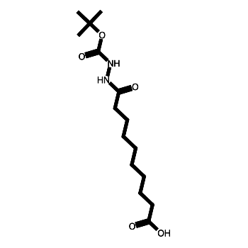 CC(C)(C)OC(=O)NNC(=O)CCCCCCCCC(=O)O